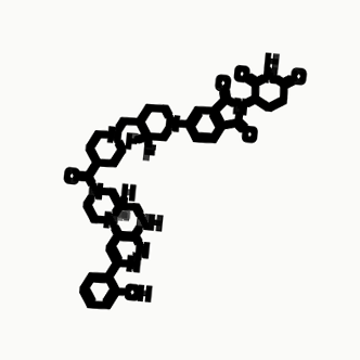 O=C1CCC(N2C(=O)c3ccc(N4CCC(CN5CCC(C(=O)N6CCN7c8cc(-c9ccccc9O)nnc8NC[C@H]7C6)CC5)C(F)(F)C4)cc3C2=O)C(=O)N1